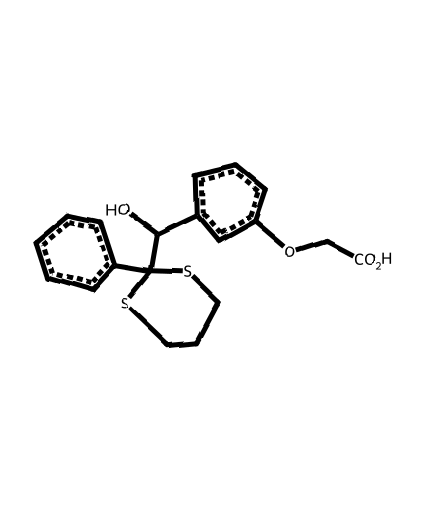 O=C(O)COc1cccc(C(O)C2(c3ccccc3)SCCCS2)c1